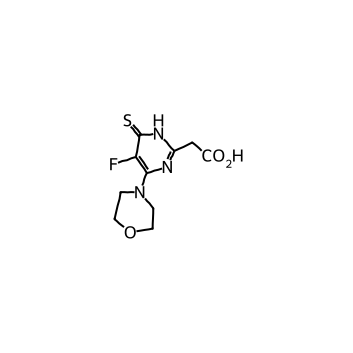 O=C(O)Cc1nc(N2CCOCC2)c(F)c(=S)[nH]1